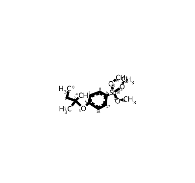 CCC(C)(C)Oc1ccc([Si](OC)(OC)OC)cc1